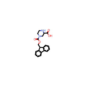 O=C(O)C1CN(C(=O)OCC2c3ccccc3-c3ccccc32)CCN1